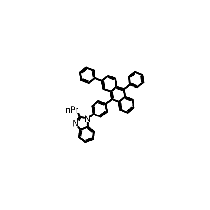 CCCc1nc2ccccc2n1-c1ccc(-c2c3ccccc3c(-c3ccccc3)c3ccc(-c4ccccc4)cc23)cc1